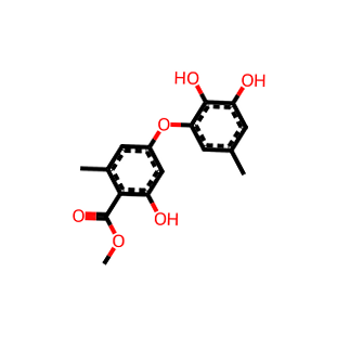 COC(=O)c1c(C)cc(Oc2cc(C)cc(O)c2O)cc1O